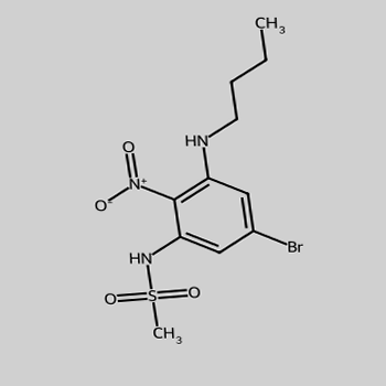 CCCCNc1cc(Br)cc(NS(C)(=O)=O)c1[N+](=O)[O-]